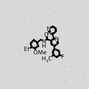 CCc1ccc(CNC(=O)c2cc(-c3cc(C)cc(F)c3)cnc2-c2cccnn2)cc1OC